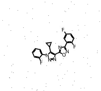 Fc1ccc(F)c(-c2noc(-c3nnn(-c4ccccc4F)c3C3CC3)n2)c1